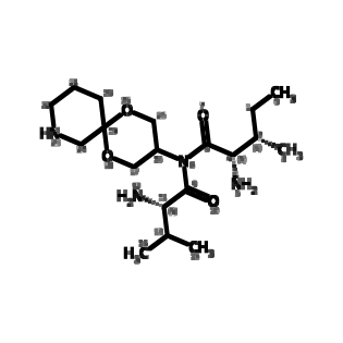 CC[C@H](C)[C@H](N)C(=O)N(C(=O)[C@@H](N)C(C)C)C1COC2(CCCNC2)OC1